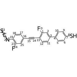 Fc1cc(-c2ccc(S)cc2)ccc1C#Cc1ccc(N=C=S)c(F)c1